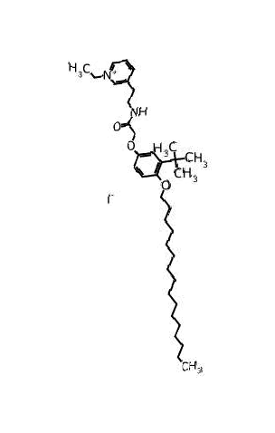 CCCCCCCCCCCCCCCCOc1ccc(OCC(=O)NCCc2ccc[n+](CC)c2)cc1C(C)(C)C.[I-]